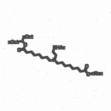 CCCCCCCCCOC(=O)CCCCCCCN(CCCCCCCC(=O)OC(CCCCCCCC)CCCCCCCC)CCNC(C)=O